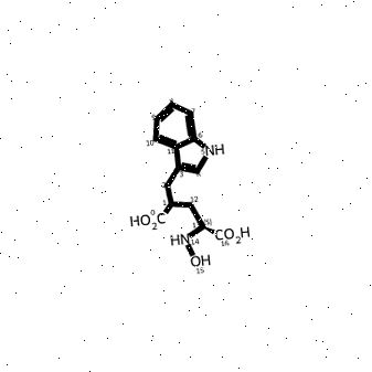 O=C(O)C(Cc1c[nH]c2ccccc12)C[C@H](NO)C(=O)O